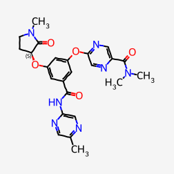 Cc1cnc(NC(=O)c2cc(Oc3cnc(C(=O)N(C)C)cn3)cc(O[C@H]3CCN(C)C3=O)c2)cn1